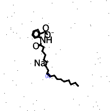 CCCCCCCC/C=C\CCCCCCCC(=O)Nc1ccccc1C(=O)[O-].[Na+]